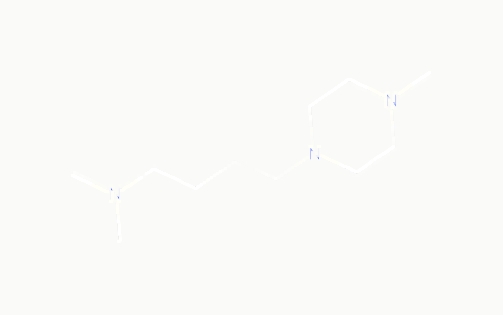 CN(C)CCCCN1CCN(C)CC1